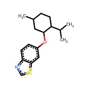 CC1CCC(C(C)C)C(Oc2ccc3ncsc3c2)C1